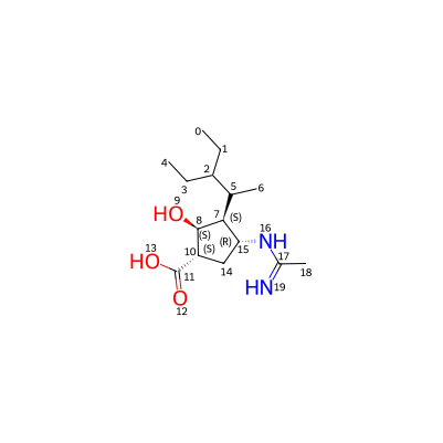 CCC(CC)C(C)[C@@H]1[C@H](O)[C@@H](C(=O)O)C[C@H]1NC(C)=N